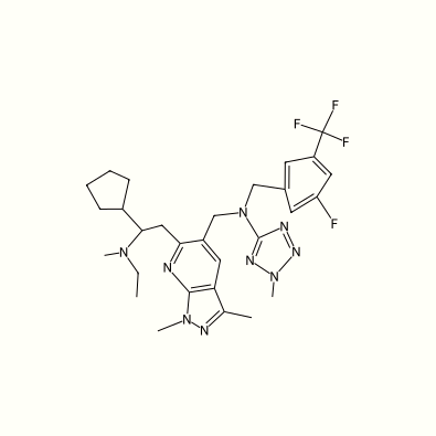 CCN(C)C(Cc1nc2c(cc1CN(Cc1cc(F)cc(C(F)(F)F)c1)c1nnn(C)n1)c(C)nn2C)C1CCCC1